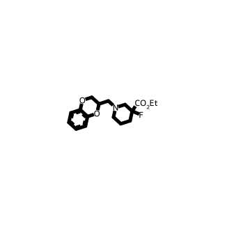 CCOC(=O)C1(F)CCCN(CC2COc3ccccc3O2)C1